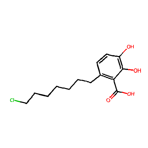 O=C(O)c1c(CCCCCCCCl)ccc(O)c1O